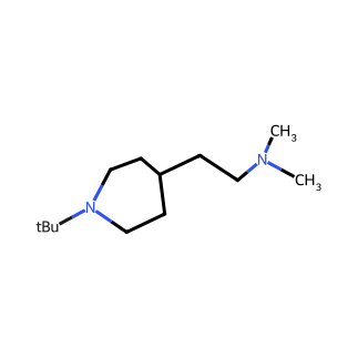 CN(C)CCC1CCN(C(C)(C)C)CC1